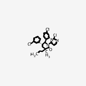 C=CC[C@@]1(C)C[C@H](c2cccc(Cl)c2)C(c2ccc(Cl)cc2)N(c2ccnc(Cl)n2)C1=O